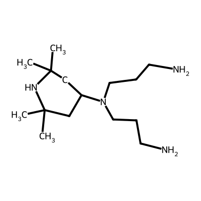 CC1(C)CC(N(CCCN)CCCN)CC(C)(C)N1